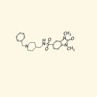 Cn1c(=O)n(C)c2cc(S(=O)(=O)NCC3CCN(Cc4ccccc4)CC3)ccc21